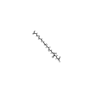 CC(C)CCOCCOCCOCCOCCNC(=O)CCC(C)C